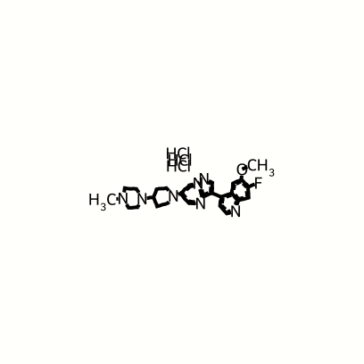 COc1cc2c(-c3cnn4cc(N5CCC(N6CCN(C)CC6)CC5)cnc34)ccnc2cc1F.Cl.Cl.Cl